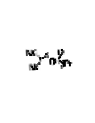 CC(C)C(=O)OCC(C#N)C#N